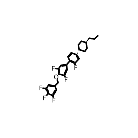 CCC[C@H]1CC[C@H](c2ccc(-c3cc(F)c(OCc4cc(F)c(F)c(F)c4)c(F)c3)c(F)c2)CC1